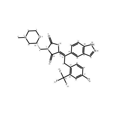 CN1CCO[C@H](CN2C(=O)S/C(=C(/Cc3ccc(Cl)cc3C(F)(F)F)c3ccc4[nH]ncc4c3)C2=O)C1